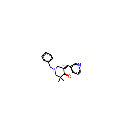 CC1(C)CN(Cc2ccccc2)C/C(=C/c2cccnc2)C1=O